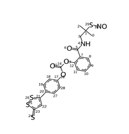 CC(C)(CNC(=O)c1ccccc1OC(=O)Oc1ccc(-c2cc(=S)ss2)cc1)SN=O